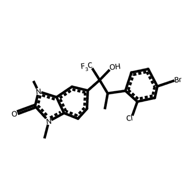 CC(c1ccc(Br)cc1Cl)C(O)(c1ccc2c(c1)n(C)c(=O)n2C)C(F)(F)F